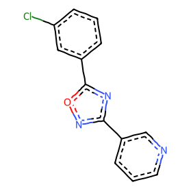 Clc1cccc(-c2nc(-c3cccnc3)no2)c1